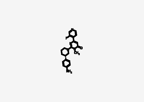 Cn1c(N2CCC[C@@H](c3ccc(N)cc3)C2)nc(-c2ccncc2F)cc1=O